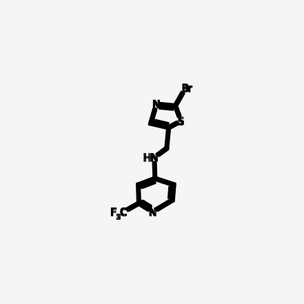 FC(F)(F)c1cc(NCc2cnc(Br)s2)ccn1